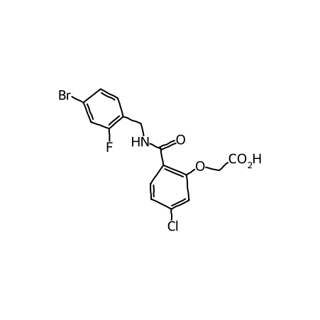 O=C(O)COc1cc(Cl)ccc1C(=O)NCc1ccc(Br)cc1F